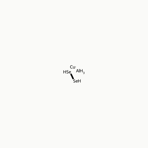 [AlH3].[Cu].[SeH][SeH]